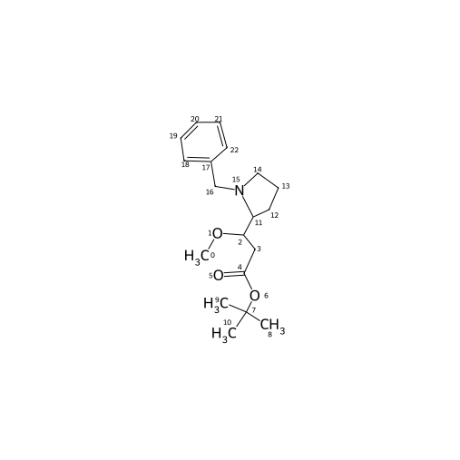 COC(CC(=O)OC(C)(C)C)C1CCCN1Cc1ccccc1